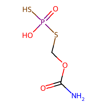 NC(=O)OCSP(=O)(O)S